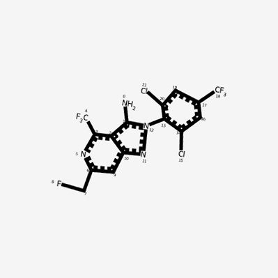 Nc1c2c(C(F)(F)F)nc(CF)cc2nn1-c1c(Cl)cc(C(F)(F)F)cc1Cl